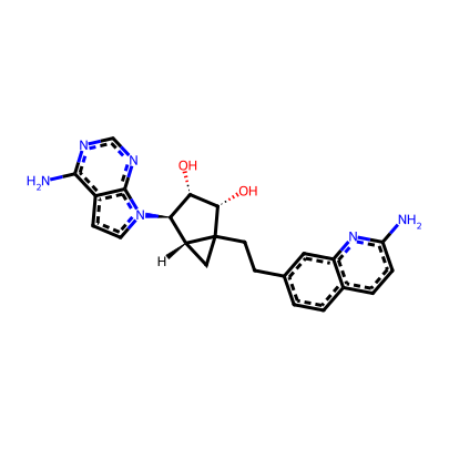 Nc1ccc2ccc(CCC34C[C@@H]3[C@@H](n3ccc5c(N)ncnc53)[C@H](O)[C@@H]4O)cc2n1